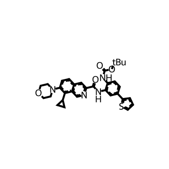 CC(C)(C)OC(=O)Nc1ccc(-c2cccs2)cc1NC(=O)c1cc2ccc(N3CCOCC3)c(C3CC3)c2cn1